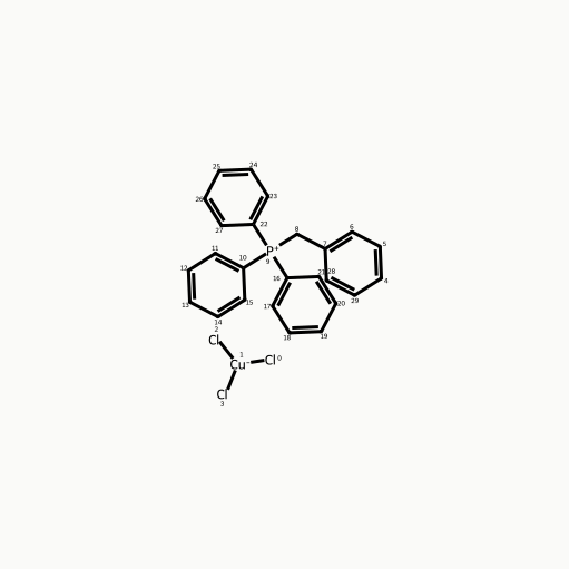 [Cl][Cu-]([Cl])[Cl].c1ccc(C[P+](c2ccccc2)(c2ccccc2)c2ccccc2)cc1